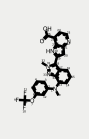 CN(c1cccc(OC(F)(F)F)c1)c1cccc2c(-c3cc4nccc(C(=O)O)c4[nH]3)n(C)nc12